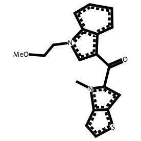 COCCn1cc(C(=O)c2cc3sccc3n2C)c2ccccc21